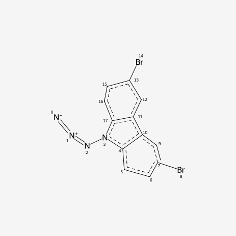 [N-]=[N+]=Nn1c2ccc(Br)cc2c2cc(Br)ccc21